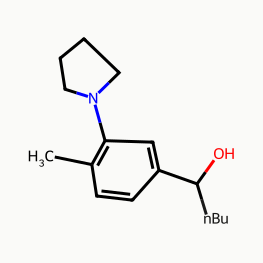 CCCCC(O)c1ccc(C)c(N2CCCC2)c1